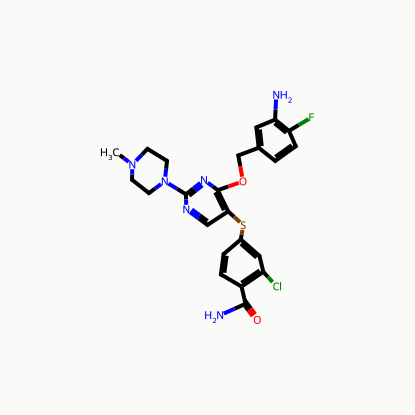 CN1CCN(c2ncc(Sc3ccc(C(N)=O)c(Cl)c3)c(OCc3ccc(F)c(N)c3)n2)CC1